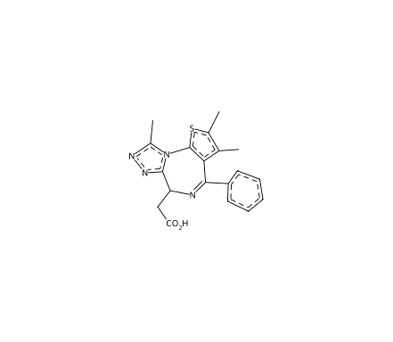 Cc1sc2c(c1C)C(c1ccccc1)=NC(CC(=O)O)c1nnc(C)n1-2